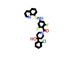 O=C(c1c(F)cc(NSc2cccc3cccnc23)cc1F)N1CCC(O)(c2ccccc2Cl)CC1